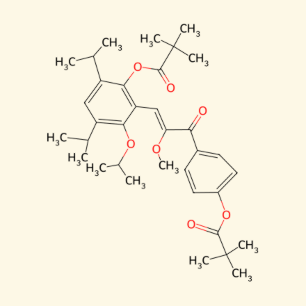 COC(=Cc1c(OC(=O)C(C)(C)C)c(C(C)C)cc(C(C)C)c1OC(C)C)C(=O)c1ccc(OC(=O)C(C)(C)C)cc1